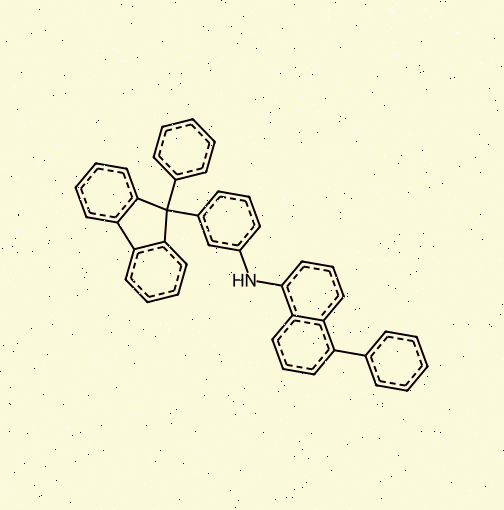 c1ccc(-c2cccc3c(Nc4cccc(C5(c6ccccc6)c6ccccc6-c6ccccc65)c4)cccc23)cc1